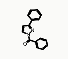 O=C(c1ccccc1)n1ccc(-c2ccccc2)n1